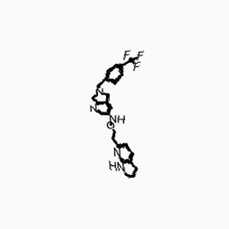 FC(F)(F)c1ccc(CN2Cc3cc(NOCCc4ccc5c(n4)NCCC5)cnc3C2)cc1